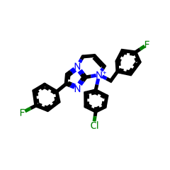 Fc1ccc(C[N+]2(c3ccc(Cl)cc3)C=CCn3cc(-c4ccc(F)cc4)nc32)cc1